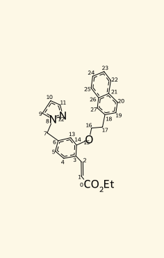 CCOC(=O)C=Cc1ccc(Cn2cccn2)cc1OCCc1ccc2ccccc2c1